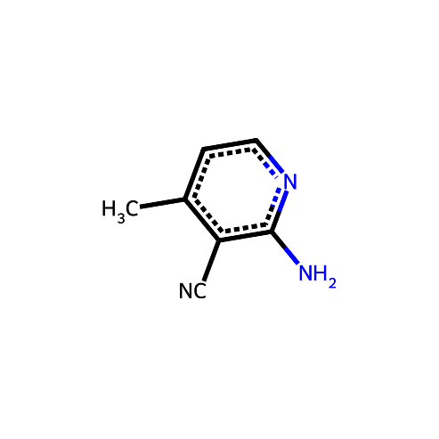 Cc1ccnc(N)c1C#N